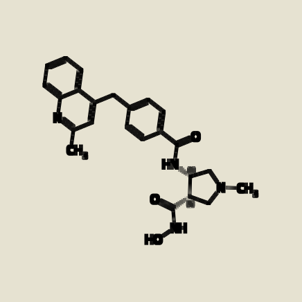 Cc1cc(Cc2ccc(C(=O)N[C@@H]3CN(C)C[C@@H]3C(=O)NO)cc2)c2ccccc2n1